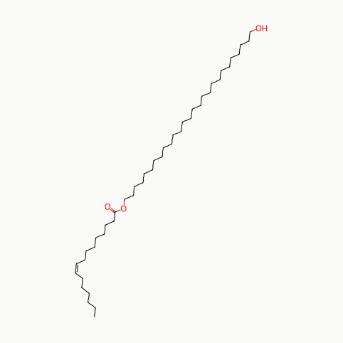 CCCCCC/C=C\CCCCCCCC(=O)OCCCCCCCCCCCCCCCCCCCCCCCCCCCO